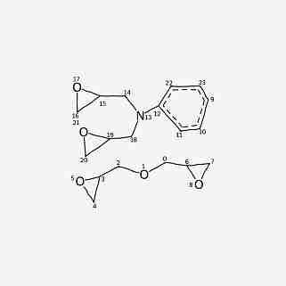 C(OCC1CO1)C1CO1.c1ccc(N(CC2CO2)CC2CO2)cc1